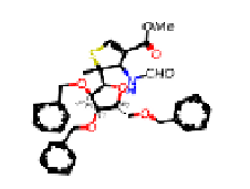 COC(=O)C1=CSC(C)(C2O[C@H](COCc3ccccc3)[C@@H](OCc3ccccc3)[C@@]2(C)OCc2ccccc2)C1NC=O